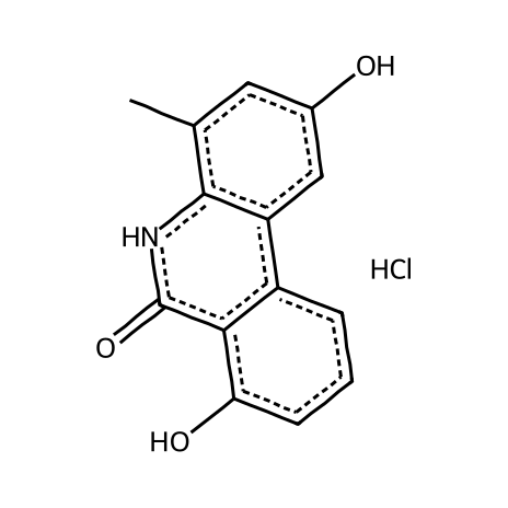 Cc1cc(O)cc2c1[nH]c(=O)c1c(O)cccc12.Cl